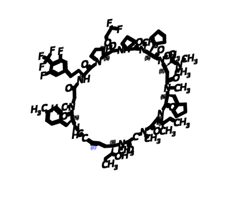 CCC(O)[C@@H]1C/C=C\CCN[C@@H](Cc2ccc(C)cc2)C(=O)N(C)CC(=O)N[C@@H](CCc2cc(F)c(C(F)(F)F)c(F)c2)C(=O)N2CC[C@H](OCC(F)F)[C@H]2C(=O)NC2(CCC2)C(=O)N(C)[C@@H](C2CCCC2)C(=O)N(C)[C@H](C(=O)N(C)C)CC(=O)N(C)[C@@H](CC2CCCC2)C(=O)N[C@@H]([C@@H](C)CC)C(=O)N(C)CC(=O)N1C